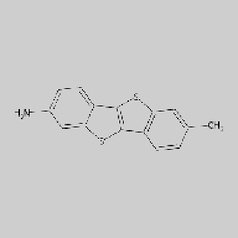 Cc1ccc2c(c1)sc1c3ccc(N)cc3sc21